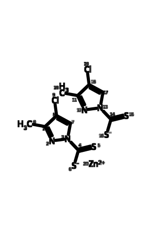 Cc1nn(C(=S)[S-])cc1Cl.Cc1nn(C(=S)[S-])cc1Cl.[Zn+2]